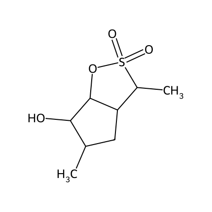 CC1CC2C(OS(=O)(=O)C2C)C1O